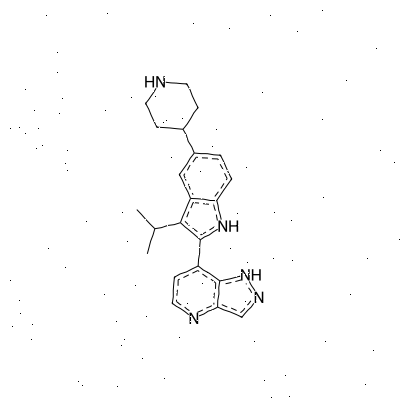 CC(C)c1c(-c2ccnc3cn[nH]c23)[nH]c2ccc(C3CCNCC3)cc12